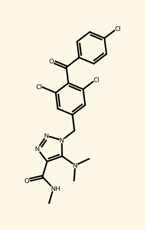 CNC(=O)c1nnn(Cc2cc(Cl)c(C(=O)c3ccc(Cl)cc3)c(Cl)c2)c1N(C)C